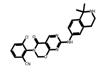 CC1(C)NCCc2cc(Nc3ncc4c(n3)OCN(c3c(Cl)cccc3C#N)C4=O)ccc21